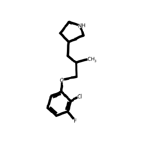 CC(COc1cccc(F)c1Cl)CC1CCNC1